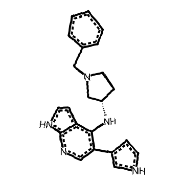 c1ccc(CN2CC[C@H](Nc3c(-c4cc[nH]c4)cnc4[nH]ccc34)C2)cc1